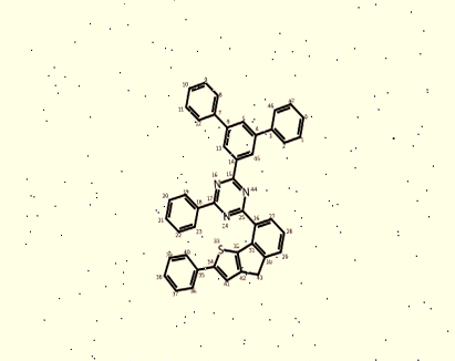 c1ccc(-c2cc(-c3ccccc3)cc(-c3nc(-c4ccccc4)nc(-c4cccc5c4-c4sc(-c6ccccc6)cc4C5)n3)c2)cc1